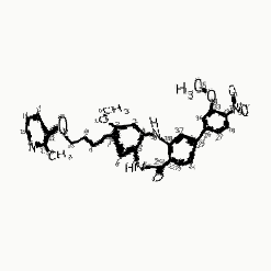 COc1cc2c(cc1CCCOc1cccnc1C)NC(=O)c1ccc(-c3ccc([N+](=O)[O-])c(OC)c3)cc1N2